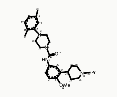 COc1ccc(NC(=O)N2CCN(c3cc(C)ccc3C)CC2)cc1C1CCN(C(C)C)CC1